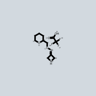 C1CCC(CON=C2CNC2)OC1.O=C(O)C(F)(F)F